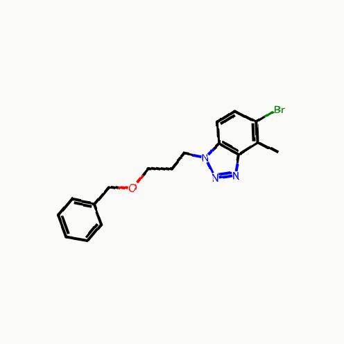 Cc1c(Br)ccc2c1nnn2CCCOCc1ccccc1